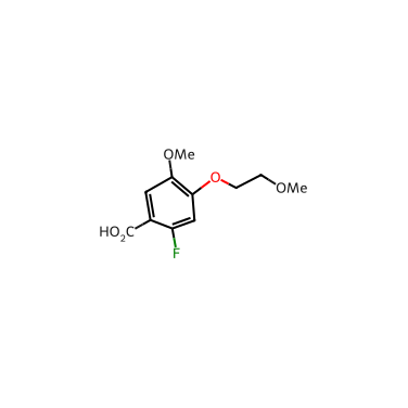 COCCOc1cc(F)c(C(=O)O)cc1OC